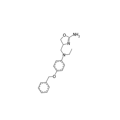 CCN(CC1COC(N)=N1)c1ccc(OCc2ccccc2)cc1